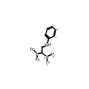 CCN(CC)C(CNc1ccccc1)N(CC)CC